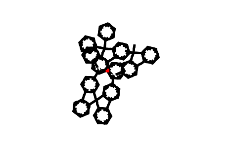 CC1(C)c2ccccc2-c2ccc(N(c3ccc4c(c3)C3(c5ccccc5-c5ccc(N(c6ccccc6)c6ccccc6)cc53)c3ccccc3-4)c3cccc4c3-c3ccccc3C4(c3ccccc3)c3ccccc3)cc21